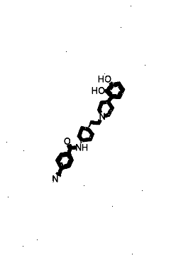 N#Cc1ccc(C(=O)N[C@H]2CC[C@H](CCN3CCC(c4cccc(O)c4O)CC3)CC2)cc1